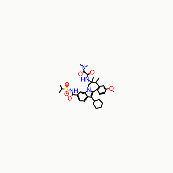 COc1ccc2c(c1)C(C)C(C)(NC(=O)C(=O)N(C)C)Cn1c-2c(C2CCCCC2)c2ccc(C(=O)NS(=O)(=O)C(C)C)cc21